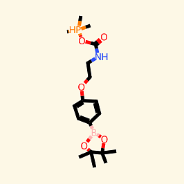 CC1(C)OB(c2ccc(OCCNC(=O)O[PH](C)(C)C)cc2)OC1(C)C